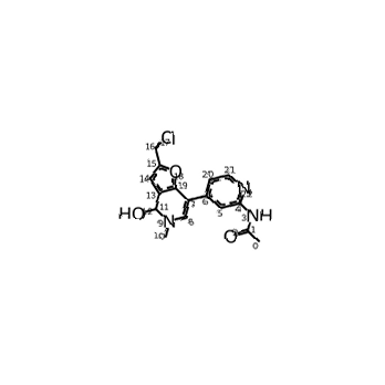 CC(=O)Nc1cc(C2=CN(C)C(O)c3cc(CCl)oc32)ccn1